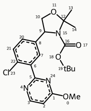 COc1ccnc(-c2cc(C3COC(C)(C)N3C(=O)OC(C)(C)C)ccc2Cl)n1